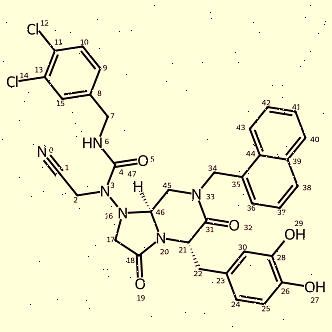 N#CCN(C(=O)NCc1ccc(Cl)c(Cl)c1)N1CC(=O)N2[C@@H](Cc3ccc(O)c(O)c3)C(=O)N(Cc3cccc4ccccc34)C[C@@H]21